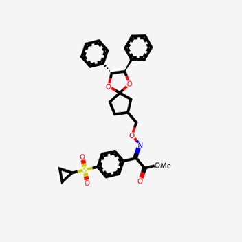 COC(=O)/C(=N/OCC1CCC2(C1)O[C@H](c1ccccc1)[C@@H](c1ccccc1)O2)c1ccc(S(=O)(=O)C2CC2)cc1